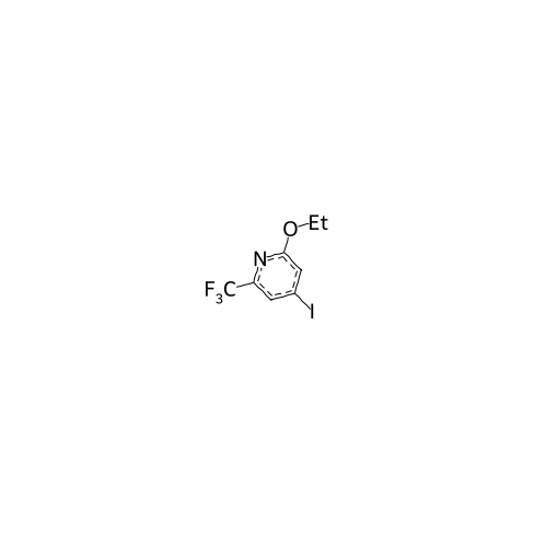 CCOc1cc(I)cc(C(F)(F)F)n1